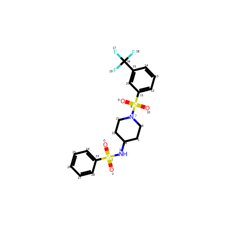 O=S(=O)(NC1CCN(S(=O)(=O)c2cccc(C(F)(F)F)c2)CC1)c1ccccc1